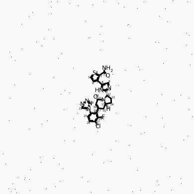 NC(=O)c1sccc1-c1cnc([C@@H]2CC[C@@H]3CC(c4c(-n5cnnn5)ccc(Cl)c4F)=CC(=O)N32)[nH]1